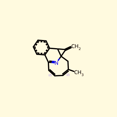 C=C1C2c3ccccc3C3=NC12C/C(C)=C\C=C/3